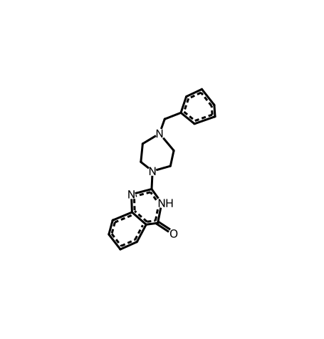 O=c1[nH]c(N2CCN(Cc3ccccc3)CC2)nc2ccccc12